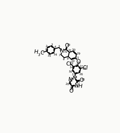 Cc1ccc(CN2CCC3C=C(Oc4c(Cl)cc(-n5ncc(=O)[nH]c5=O)cc4Cl)C=CC3C2=O)cc1